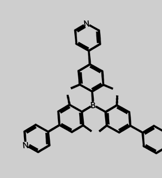 Cc1cc(-c2ccncc2)cc(C)c1B(c1c(C)cc(-c2ccncc2)cc1C)c1c(C)cc(-c2ccncc2)cc1C